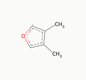 Cc1[c]occ1C